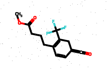 COC(=O)CCCC1=C(C(F)(F)F)CC(=C=O)C=C1